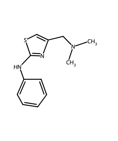 CN(C)Cc1csc(Nc2ccccc2)n1